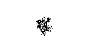 COc1c(NC(=O)c2ccc(C)c(Oc3ccnc(N[C@H]4CC[C@H](N(C)C)CC4)n3)c2)cc(C(C)(C)C)cc1NS(C)(=O)=O